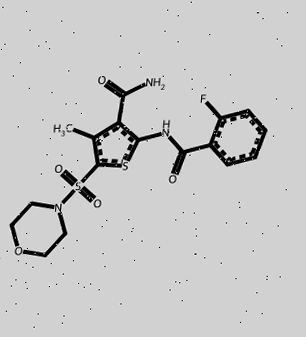 Cc1c(S(=O)(=O)N2CCOCC2)sc(NC(=O)c2ccccc2F)c1C(N)=O